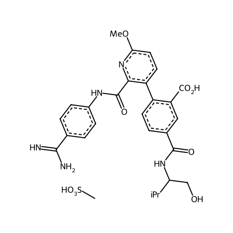 COc1ccc(-c2ccc(C(=O)NC(CO)C(C)C)cc2C(=O)O)c(C(=O)Nc2ccc(C(=N)N)cc2)n1.CS(=O)(=O)O